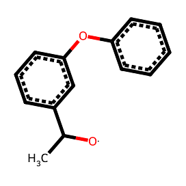 CC([O])c1cccc(Oc2ccccc2)c1